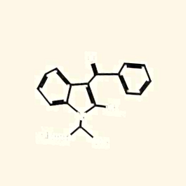 CCCCCCCC(O)n1c(C)c(C(=O)c2ccccc2)c2ccccc21